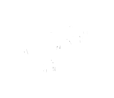 O=C(NO)NCc1ncc(-c2cc(Cl)cc(Cl)c2-n2cccn2)cc1F